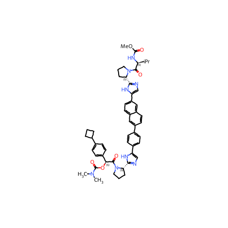 COC(=O)N[C@H](C(=O)N1CCC[C@H]1c1ncc(-c2ccc3cc(-c4ccc(-c5cnc([C@@H]6CCCN6C(=O)[C@@H](OC(=O)N(C)C)c6ccc(C7CCC7)cc6)[nH]5)cc4)ccc3c2)[nH]1)C(C)C